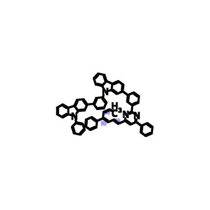 C\C=C/C(=C\C=C\c1cc(-c2ccccc2)nc(-c2cccc(-c3ccc4c5ccccc5n(-c5cccc(-c6ccc7c8ccccc8n(-c8ccccc8)c7c6)c5)c4c3)c2)n1)c1ccccc1